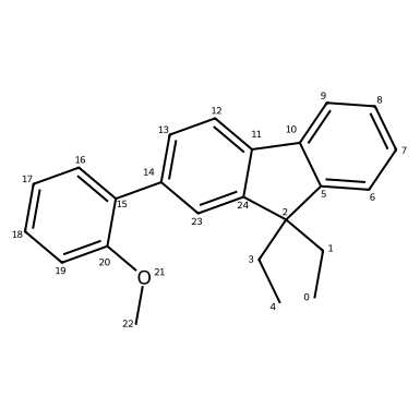 CCC1(CC)c2ccccc2-c2ccc(-c3ccccc3OC)cc21